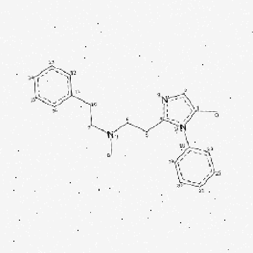 Cc1cnc(CCN(C)CCc2ccccc2)n1-c1ccccc1